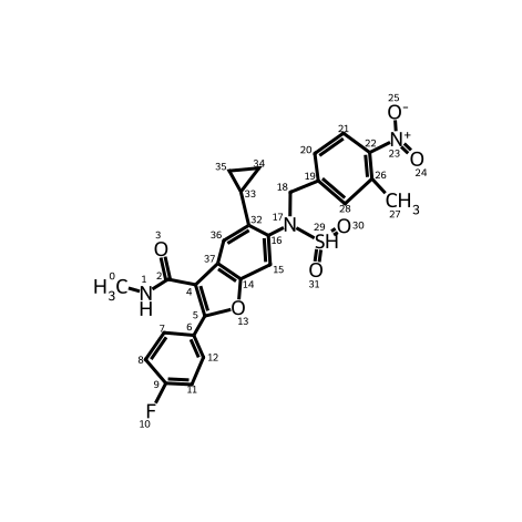 CNC(=O)c1c(-c2ccc(F)cc2)oc2cc(N(Cc3ccc([N+](=O)[O-])c(C)c3)[SH](=O)=O)c(C3CC3)cc12